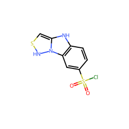 O=S(=O)(Cl)c1ccc2c(c1)N1NSC=C1N2